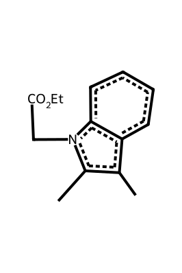 CCOC(=O)Cn1c(C)c(C)c2ccccc21